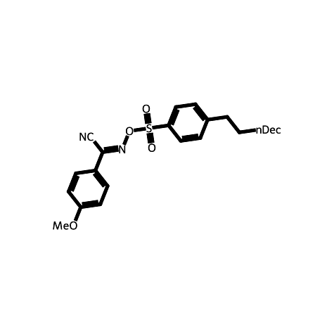 CCCCCCCCCCCCc1ccc(S(=O)(=O)O/N=C(\C#N)c2ccc(OC)cc2)cc1